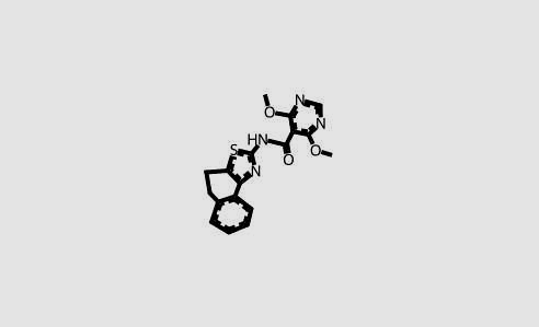 COc1ncnc(OC)c1C(=O)Nc1nc2c(s1)CCc1ccccc1-2